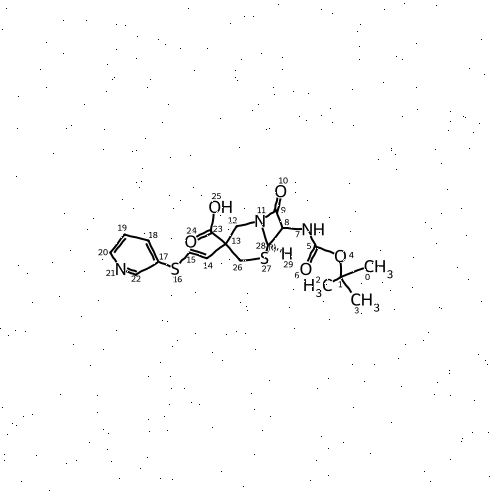 CC(C)(C)OC(=O)NC1C(=O)N2CC(C=CSc3cccnc3)(C(=O)O)CS[C@H]12